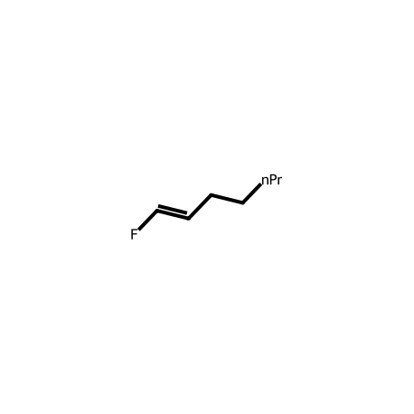 CCCCCC=CF